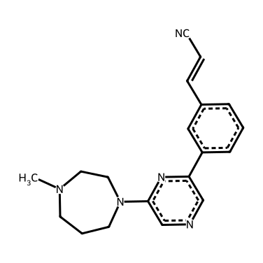 CN1CCCN(c2cncc(-c3cccc(C=CC#N)c3)n2)CC1